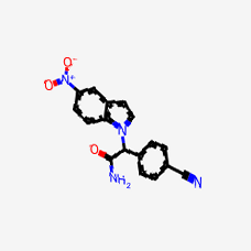 N#Cc1ccc(C(C(N)=O)n2ccc3cc([N+](=O)[O-])ccc32)cc1